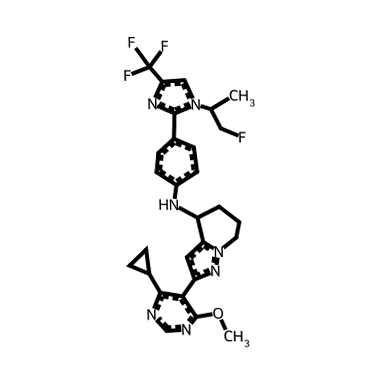 COc1ncnc(C2CC2)c1-c1cc2n(n1)CCCC2Nc1ccc(-c2nc(C(F)(F)F)cn2C(C)CF)cc1